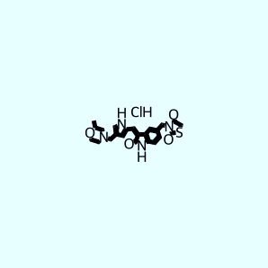 CC1CN(Cc2c[nH]c(C=C3C(=O)Nc4ccc(CN5C(=O)CSC5=O)cc43)c2)CCO1.Cl